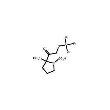 CC(C)[Si](OCC(=O)C1(C(=O)O)CCCN1C(=O)O)(C(C)C)C(C)C